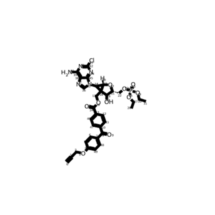 C#CCOc1ccc(C(=O)c2ccc(C(=O)OCC34C(O)[C@@H](COP(=O)(OCC)OCC)O[C@H]3C4n3cnc4c(N)nc(Cl)nc43)cc2)cc1